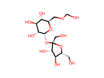 OCOC[C@H]1O[C@H](O[C@]2(CO)O[C@H](CO)[C@@H](O)[C@@H]2O)[C@H](O)[C@@H](O)[C@@H]1O